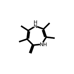 C=C1NC(C)=C(C)NC(C)=C1C